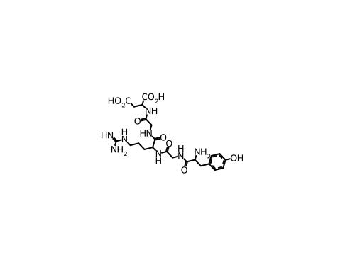 N=C(N)NCCCC(NC(=O)CNC(=O)C(N)Cc1ccc(O)cc1)C(=O)NCC(=O)NC(CC(=O)O)C(=O)O